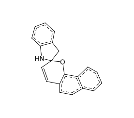 C1=CC2(Cc3ccccc3N2)Oc2c1ccc1ccccc21